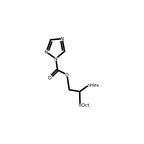 CCCCCCCCC(CCCCCC)COC(=O)n1cncn1